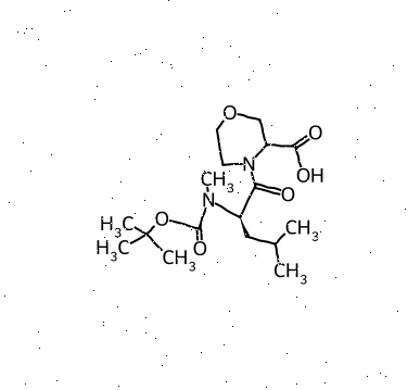 CC(C)C[C@H](C(=O)N1CCOCC1C(=O)O)N(C)C(=O)OC(C)(C)C